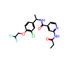 CCC(=O)Nc1cc(C(=O)NC(C)c2ccc(OCC(F)F)c(Cl)c2)ccn1